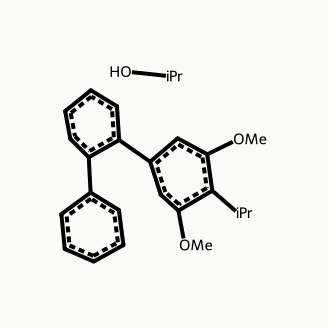 CC(C)O.COc1cc(-c2ccccc2-c2ccccc2)cc(OC)c1C(C)C